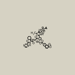 C=C[C@H]1C[C@@]1(NC(=O)C1C[C@@H](OC(=O)N2Cc3ccc4c(c3C2)OCO4)CN1C(=O)[C@@H](NC(=O)[C@@H](NC(=O)c1cnccn1)C1CCCCC1)C(C)(C)C)C(=O)NS(=O)(=O)C1CC1